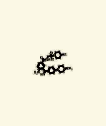 CCC1CCN(C(CC)(CC)CNC(=O)c2ccc(N)c(C(=N)c3ccc(N4CCN(C)CC4)cc3)c2)CC1